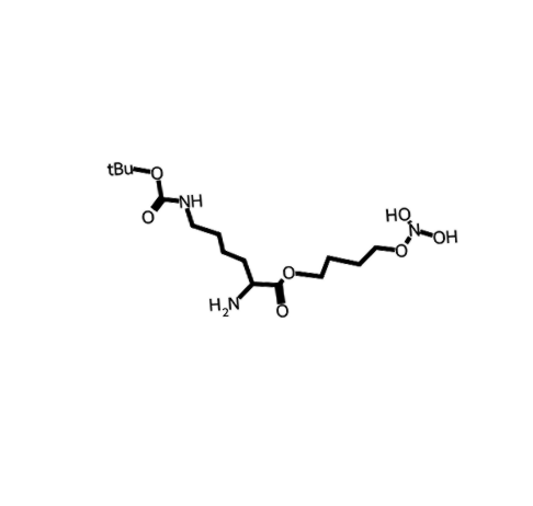 CC(C)(C)OC(=O)NCCCCC(N)C(=O)OCCCCON(O)O